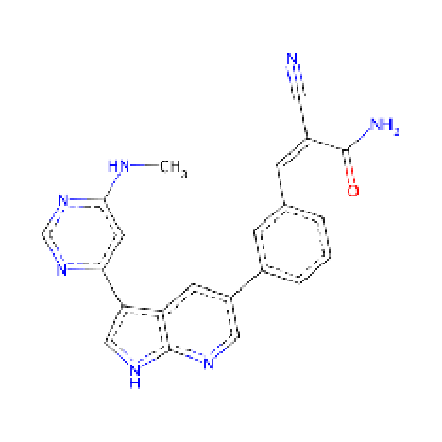 CNc1cc(-c2c[nH]c3ncc(-c4cccc(C=C(C#N)C(N)=O)c4)cc23)ncn1